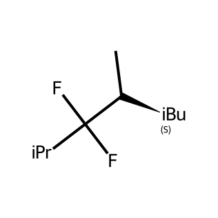 CC[C@H](C)C(C)C(F)(F)C(C)C